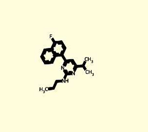 CCCNc1nc(-c2ccc(F)c3ccccc23)cc(C(C)C)n1